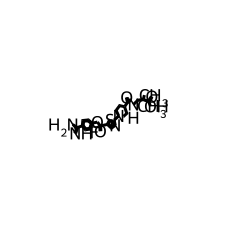 CC(C)(CNC(=O)C1CCN(c2ncc(C(=O)Oc3ccc(C(=N)N)cc3F)s2)CC1)C(=O)O